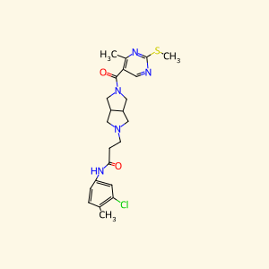 CSc1ncc(C(=O)N2CC3CN(CCC(=O)Nc4ccc(C)c(Cl)c4)CC3C2)c(C)n1